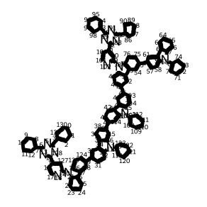 c1ccc(-c2nc(-c3ccccc3)nc(-c3ccnc(-n4c5ccccc5c5cc(-c6ccc7c(c6)c6ccc(-c8ccc9c%10cc(-c%11ccc%12c(c%11)c%11cc(-c%13ccc%14c(c%13)c%13ccccc%13n%14-c%13ccccc%13)ccc%11n%12-c%11cc(-c%12nc(-c%13ccccc%13)nc(-c%13ccccc%13)n%12)ccn%11)ccc%10n(-c%10ccccc%10)c9c8)cc6n7-c6ccccc6)ccc54)c3)n2)cc1